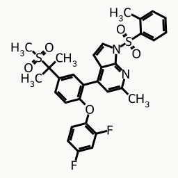 Cc1cc(-c2cc(C(C)(C)S(C)(=O)=O)ccc2Oc2ccc(F)cc2F)c2ccn(S(=O)(=O)c3ccccc3C)c2n1